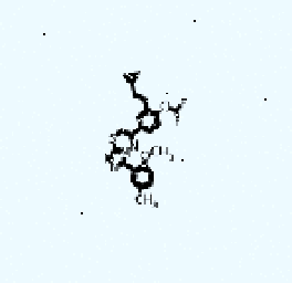 COc1ccc(C)cc1-c1nnc2n1N=C(c1ccc(OC(F)F)c(CCC3CC3)c1)CS2